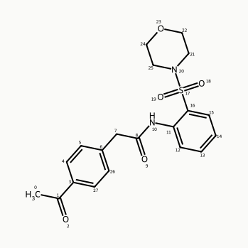 CC(=O)c1ccc(CC(=O)Nc2ccccc2S(=O)(=O)N2CCOCC2)cc1